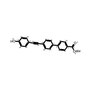 COC(=O)c1ccc(-c2ccc(C#Cc3ccc(O)cc3)cc2)cc1